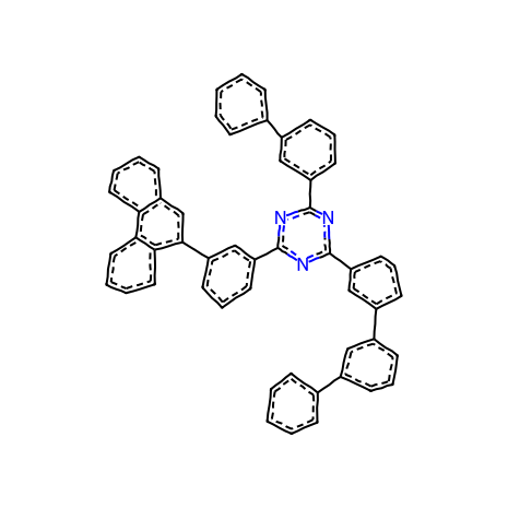 c1ccc(-c2cccc(-c3cccc(-c4nc(-c5cccc(-c6ccccc6)c5)nc(-c5cccc(-c6cc7ccccc7c7ccccc67)c5)n4)c3)c2)cc1